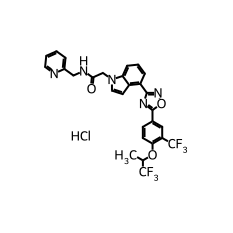 CC(Oc1ccc(-c2nc(-c3cccc4c3ccn4CC(=O)NCc3ccccn3)no2)cc1C(F)(F)F)C(F)(F)F.Cl